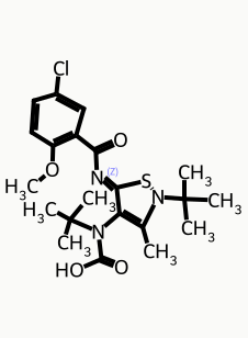 COc1ccc(Cl)cc1C(=O)/N=c1\sn(C(C)(C)C)c(C)c1N(C(=O)O)C(C)(C)C